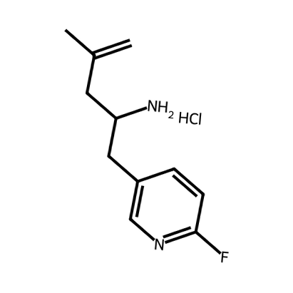 C=C(C)CC(N)Cc1ccc(F)nc1.Cl